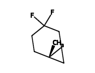 C[C@@]12CCC(F)(F)CC1C2